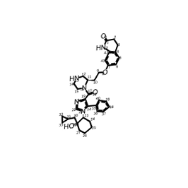 O=C1CCc2ccc(OCC[C@@H]3CNCCN3C(=O)c3ncn([C@@H]4CCCC[C@@]4(O)CC4CC4)c3-c3ccccc3)cc2N1